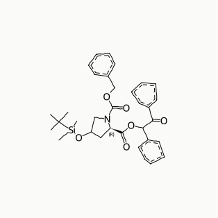 CC(C)(C)[Si](C)(C)OC1C[C@H](C(=O)OC(C(=O)c2ccccc2)c2ccccc2)N(C(=O)OCc2ccccc2)C1